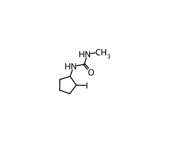 CNC(=O)NC1CCCC1I